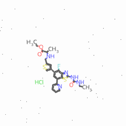 CCNC(=O)Nc1nc2c(F)c(-c3csc(CNC(C)C(=O)OCC)c3)cc(-c3ccccn3)c2s1.Cl